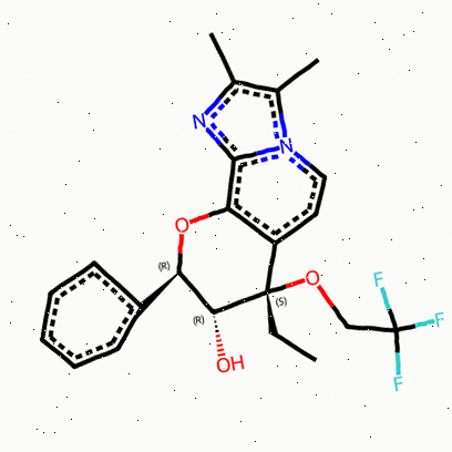 CC[C@]1(OCC(F)(F)F)c2ccn3c(C)c(C)nc3c2O[C@H](c2ccccc2)[C@H]1O